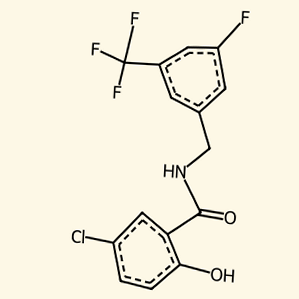 O=C(NCc1cc(F)cc(C(F)(F)F)c1)c1cc(Cl)ccc1O